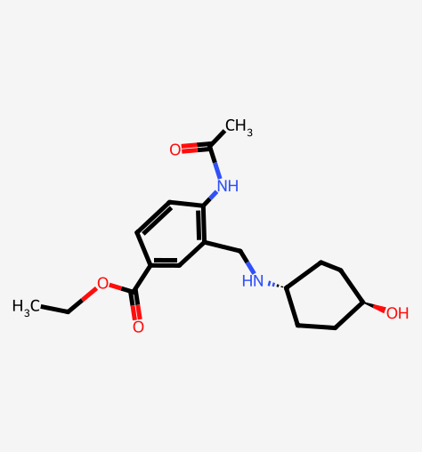 CCOC(=O)c1ccc(NC(C)=O)c(CN[C@H]2CC[C@H](O)CC2)c1